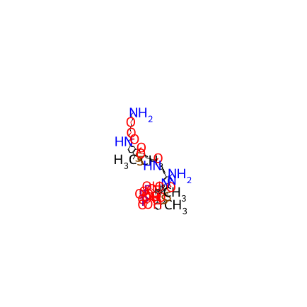 CSSC(C)c1ccc(NC(=O)COCCOCCN)cc1C(=O)OCCCCC(=O)NCC#Cc1cn([C@H]2CC(OC(=O)c3ccccc3C(C)SSC)[C@@H](COP(=O)(O)OP(=O)(O)OP(=O)(O)O)O2)c(=O)nc1N